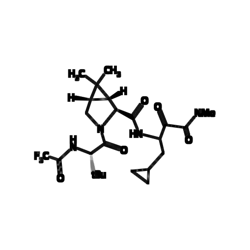 CNC(=O)C(=O)C(CC1CC1)NC(=O)[C@@H]1[C@@H]2[C@H](CN1C(=O)[C@@H](NC(=O)C(F)(F)F)C(C)(C)C)C2(C)C